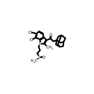 Cc1c(C(=O)CC23CC4CC(CC(C4)C2)C3)c2ccc(Cl)c(Cl)c2n1CCC[S+](C)[O-]